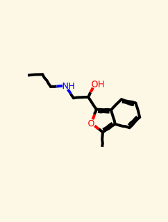 CCCNCC(O)c1oc(C)c2ccccc12